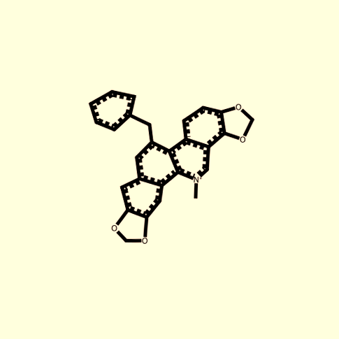 C[n+]1cc2c3c(ccc2c2c(Cc4ccccc4)cc4cc5c(cc4c21)OCO5)OCO3